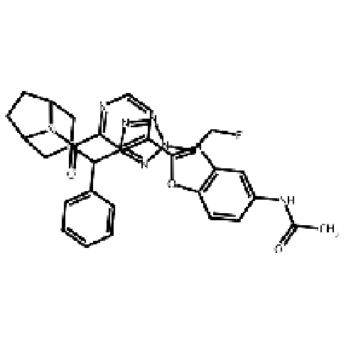 CC(=O)Nc1ccc2oc(-c3ccnc(C(=O)N4C5CCC4CN(C(c4ccccc4)c4nnn(CCF)n4)C5)c3)nc2c1